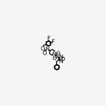 O=C1OCc2cc(F)c(F)cc2N1C1CCN(S(=O)(=O)c2nonc2Cc2ccccc2)CC1